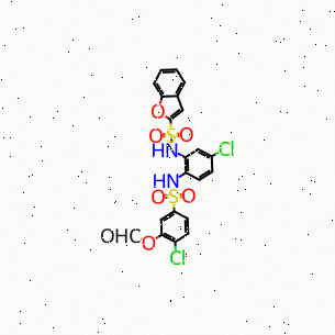 O=COc1cc(S(=O)(=O)Nc2ccc(Cl)cc2NS(=O)(=O)c2cc3ccccc3o2)ccc1Cl